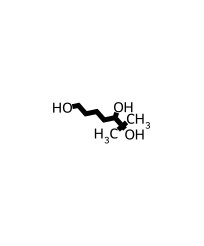 CC(C)(O)C(O)CCCCO